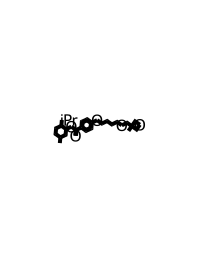 CC1CCC(C(C)C)C(OC(=O)c2ccc(OCCCCOCC3(C)COC3)cc2)C1